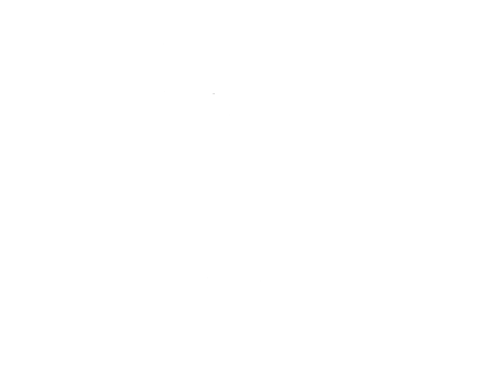 c1ccc(C2(c3ccccc3)c3ccccc3-c3c(-c4cccc(-c5ccc6c(c5)-c5cccc7cccc(c57)S6)c4)cccc32)cc1